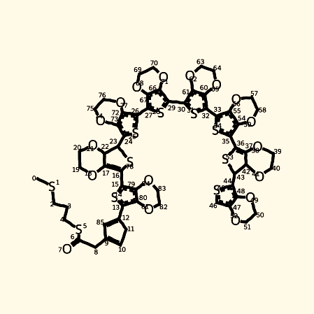 CSCCCSC(=O)CC1=CCC(c2sc(C3=C4OCCOC4C(c4sc(-c5sc(-c6sc(-c7sc(C8=C9OCCOC9C(c9scc%10c9OCCO%10)S8)c8c7OCCO8)c7c6OCCO7)c6c5OCCO6)c5c4OCCO5)S3)c3c2OCCO3)=C1